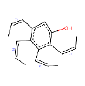 C/C=C\c1cc(O)c(/C=C\C)c(/C=C\C)c1/C=C\C